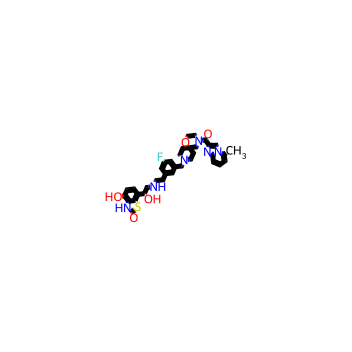 Cc1cccc2nc(C(=O)N3CCOC4(CCN(Cc5cc(F)cc(CCNCC(O)c6ccc(O)c7[nH]c(=O)sc67)c5)CC4)C3)cn12